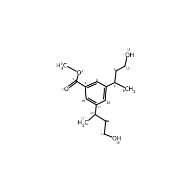 COC(=O)c1cc(C(C)CCO)cc(C(C)CCO)c1